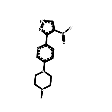 CN1CCN(c2ccc(-c3n[nH]cc3[N+](=O)[O-])nc2)CC1